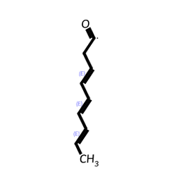 C/C=C/C=C/C=C/C[C]=O